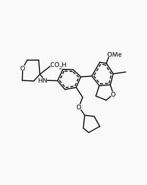 COc1cc(-c2ccc(NC3(C(=O)O)CCOCC3)cc2COC2CCCC2)c2c(c1C)OCC2